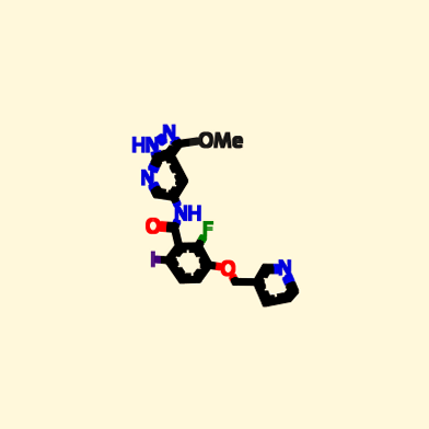 COc1n[nH]c2ncc(NC(=O)c3c(I)ccc(OCc4cccnc4)c3F)cc12